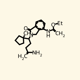 C=C(N)CCC(N1Cc2c(NC(=C)OCC)cccc2C1=O)C1(C)CCCC1